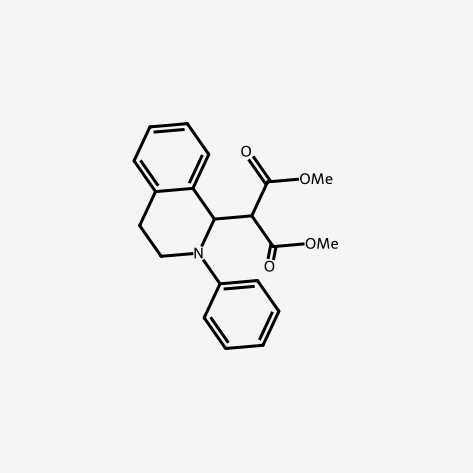 COC(=O)C(C(=O)OC)C1c2ccccc2CCN1c1ccccc1